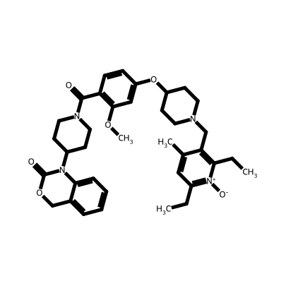 CCc1cc(C)c(CN2CCC(Oc3ccc(C(=O)N4CCC(N5C(=O)OCc6ccccc65)CC4)c(OC)c3)CC2)c(CC)[n+]1[O-]